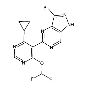 FC(F)Oc1ncnc(C2CC2)c1-c1ncc2[nH]nc(Br)c2n1